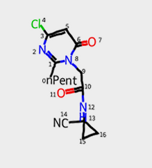 CCCCCc1nc(Cl)cc(=O)n1CC(=O)NC1(C#N)CC1